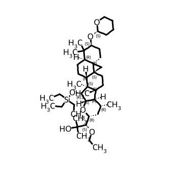 CCO[C@@H]([C@H]1C[C@@H](C)[C@H]2[C@H](O1)[C@H](O[Si](CC)(CC)CC)[C@@]1(C)[C@@H]3CC[C@H]4C(C)(C)[C@@H](O[C@H]5CCCCO5)CC[C@@]45C[C@@]35CC[C@]21C)C(C)(C)O